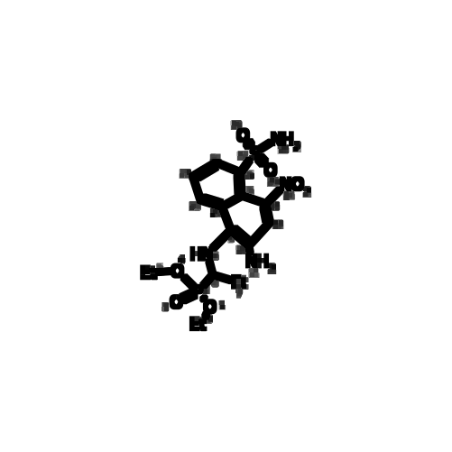 CCOP(=O)(OCC)C(CC)Nc1c(N)cc([N+](=O)[O-])c2c(S(N)(=O)=O)cccc12